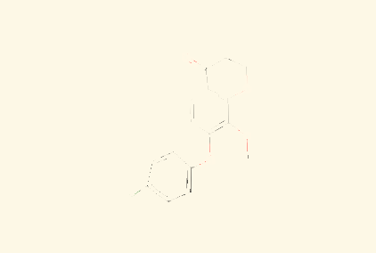 COc1c(Oc2ccc(Cl)cc2)ccc2c1OCCC2=O